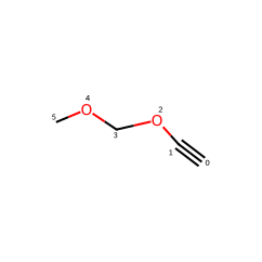 C#COCOC